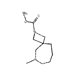 CN1CCCCC2(C1)CN(C(=O)OC(C)(C)C)C2